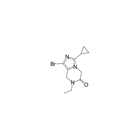 CCN1Cc2c(Br)nc(C3CC3)n2CC1=O